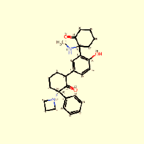 CN[C@]1(c2cc(C3CCC[C@@](c4ccccc4)(N4CCC4)C3=O)ccc2O)CCCCC1=O